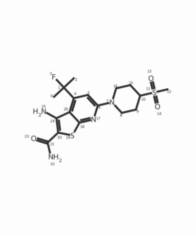 CC(C)(F)c1cc(N2CCC(S(C)(=O)=O)CC2)nc2sc(C(N)=O)c(N)c12